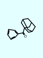 O=C(c1ccccc1)C12CC3CC(CC(C3)C1)C2